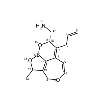 C=CCC1=C2C=COCC3=C2B(OC3C)O[C@@H]1CN